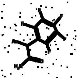 CC(=O)C(C(N)=O)c1c(F)c(F)c(F)c(F)c1F